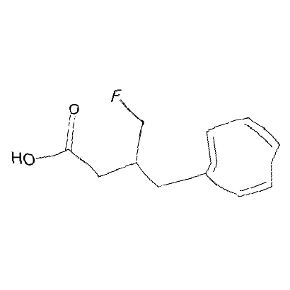 O=C(O)CC(CF)Cc1ccccc1